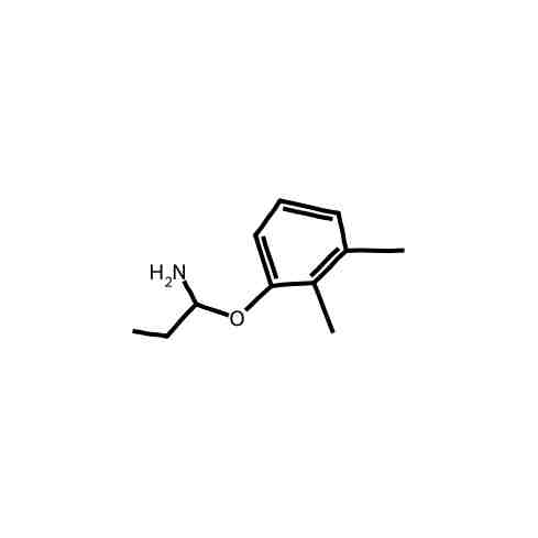 CCC(N)Oc1cccc(C)c1C